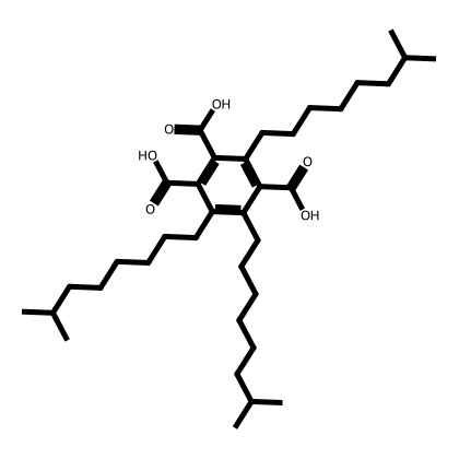 CC(C)CCCCCCc1c(CCCCCCC(C)C)c(C(=O)O)c(C(=O)O)c(CCCCCCC(C)C)c1C(=O)O